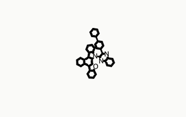 c1ccc(-c2ccc(-c3nc4ccccc4nc3-n3c4ccccc4c4c5ccccc5c5c6ccccc6oc5c43)cc2)cc1